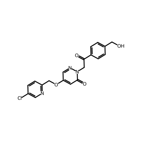 O=C(Cn1ncc(OCc2ccc(Cl)cn2)cc1=O)c1ccc(CO)cc1